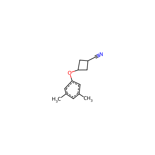 Cc1cc(C)cc(OC2CC(C#N)C2)c1